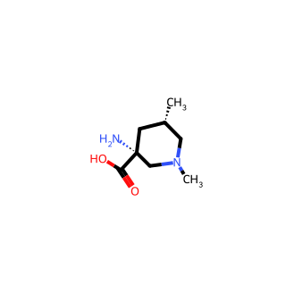 C[C@@H]1CN(C)C[C@@](N)(C(=O)O)C1